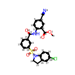 COC(=O)c1cc(C#N)ccc1NC(=O)c1cccc(S(=O)(=O)N2CCc3cc(Cl)ccc32)c1